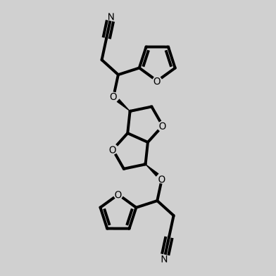 N#CCC(O[C@H]1COC2C1OC[C@@H]2OC(CC#N)c1ccco1)c1ccco1